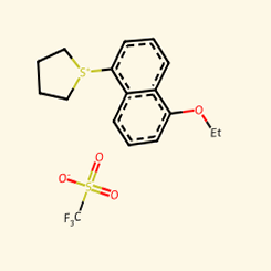 CCOc1cccc2c([S+]3CCCC3)cccc12.O=S(=O)([O-])C(F)(F)F